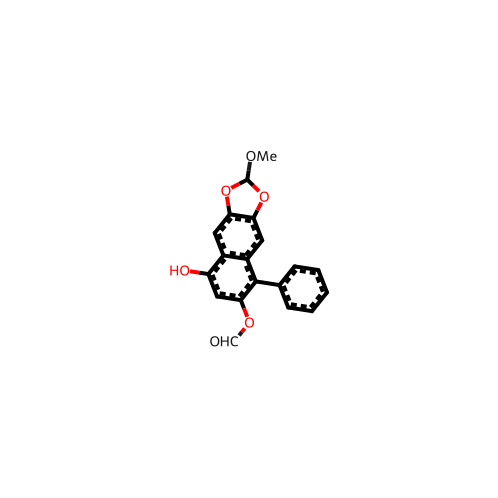 COC1Oc2cc3c(O)cc(OC=O)c(-c4ccccc4)c3cc2O1